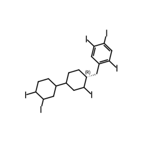 Ic1cc(I)c(C[C@H]2CCC(C3CCC(I)C(I)C3)CC2I)cc1I